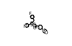 O=C(Cn1nc(-c2ccncc2)cc1Cc1ccc(F)cc1)N1CCCC(N2CCOCC2)CC1